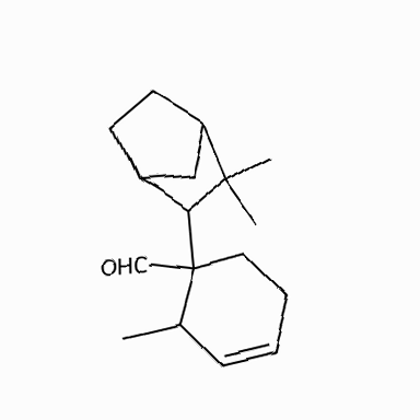 CC1C=CCCC1(C=O)C1C2CCC(C2)C1(C)C